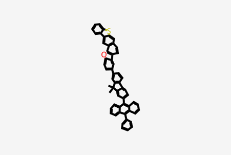 CC1(C)c2cc(-c3ccc4oc5c6cc7c(cc6ccc5c4c3)sc3ccccc37)ccc2-c2ccc(-c3c4ccccc4c(-c4ccccc4)c4ccccc34)cc21